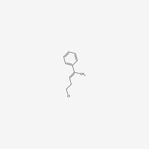 C/C(=C\CCCl)c1ccccc1